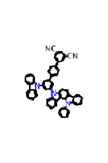 N#Cc1cc(C#N)cc(-c2ccc(-c3cc(-n4c5ccccc5c5ccccc54)cc(-n4c5ccccc5c5c4ccc4c6ccccc6n(-c6ccccc6)c45)c3)cc2)c1